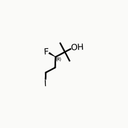 CC(C)(O)[C@H](F)CCI